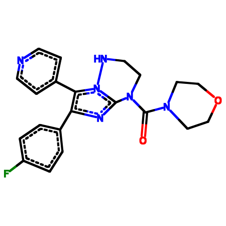 O=C(N1CCOCC1)N1CCNn2c1nc(-c1ccc(F)cc1)c2-c1ccncc1